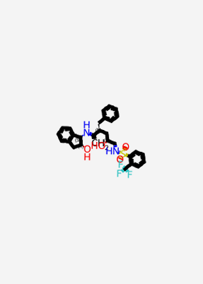 C=C(N[C@H]1c2ccccc2C[C@H]1O)[C@H](Cc1ccccc1)C[C@H](O)CNS(=O)(=O)c1ccccc1C(F)(F)F